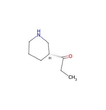 CCC(=O)[C@@H]1CCCNC1